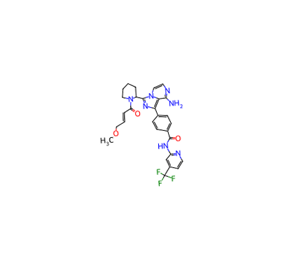 COCC=CC(=O)N1CCCCC1c1nc(-c2ccc(C(=O)Nc3cc(C(F)(F)F)ccn3)cc2)c2c(N)nccn12